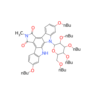 CCCCOCC1OC(n2c3cc(OCCCC)ccc3c3c4c(c5c6ccc(OCCCC)cc6[nH]c5c32)C(=O)N(C)C4=O)C(OCCCC)C(OCCCC)C1OCCCC